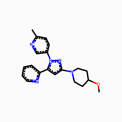 COC1CCN(c2cc(-c3ccccn3)n(-c3ccc(C)nc3)n2)CC1